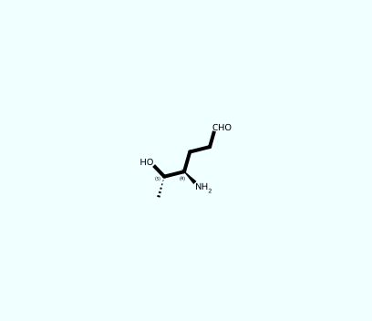 C[C@H](O)[C@H](N)CCC=O